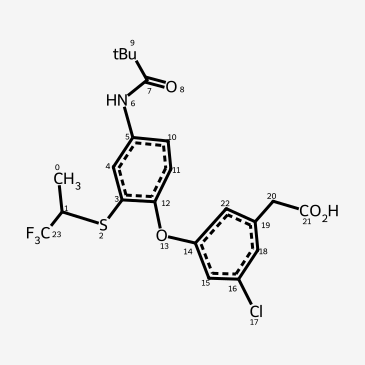 CC(Sc1cc(NC(=O)C(C)(C)C)ccc1Oc1cc(Cl)cc(CC(=O)O)c1)C(F)(F)F